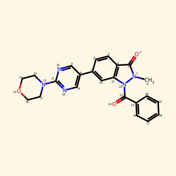 Cn1c(=O)c2ccc(-c3cnc(N4CCOCC4)nc3)cc2n1C(=O)c1ccccc1